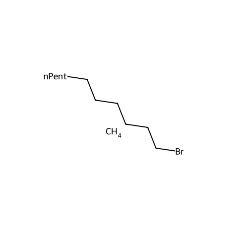 C.CCCCCCCCCCCBr